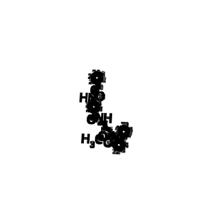 COC(=O)[C@H](CCCCNC(=O)c1ccc(NC(=O)OCc2ccccc2)cc1)n1c2ccccc2c2ccccc21